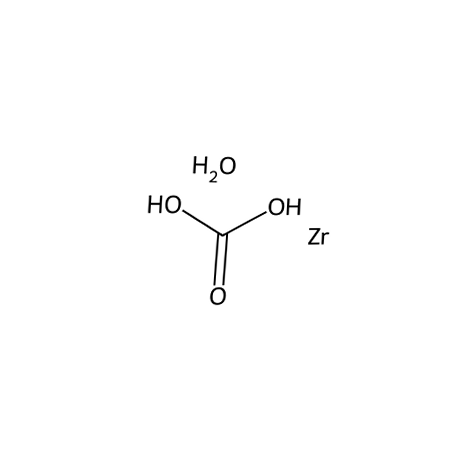 O.O=C(O)O.[Zr]